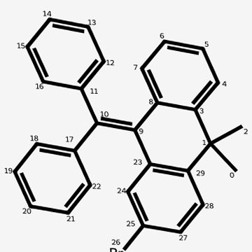 CC1(C)c2ccccc2C(=C(c2ccccc2)c2ccccc2)c2cc(Br)ccc21